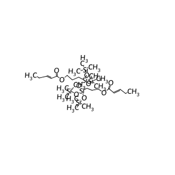 CCC=CC(=O)OCCC[Si](O[Si](C)(C)C)(O[Si](C)(C)C)O[Si](CCCOC(=O)C=CCC)(O[Si](C)(C)C)O[Si](C)(C)C